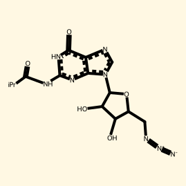 CC(C)C(=O)Nc1nc2c(ncn2C2OC(CN=[N+]=[N-])C(O)C2O)c(=O)[nH]1